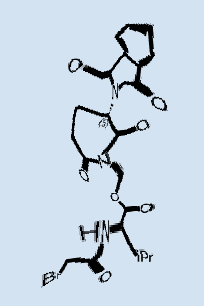 CC(C)C(NC(=O)CBr)C(=O)OCN1C(=O)CC[C@H](N2C(=O)c3ccccc3C2=O)C1=O